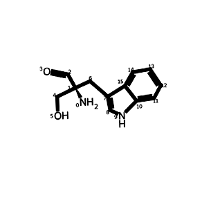 N[C@](C=O)(CO)Cc1c[nH]c2ccccc12